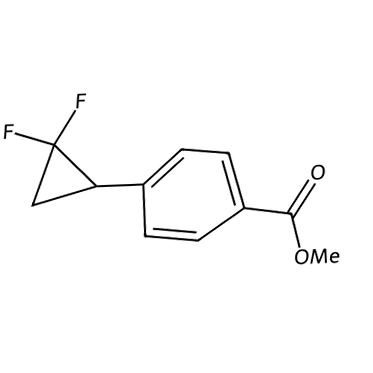 COC(=O)c1ccc(C2CC2(F)F)cc1